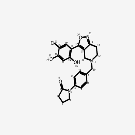 O=C1CCCN1c1ccc(CN2CCc3noc(-c4cc(Cl)c(O)cc4O)c3C2)cc1